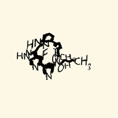 CCCCC(O)Nc1cncc(-c2ncc3[nH]nc(-c4nc5c(-c6ccc(C(C)=O)s6)cccc5[nH]4)c3c2F)c1